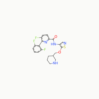 O=C(Nc1cnsc1OCC1CCCNC1)c1ccc(F)c(-c2c(F)cccc2F)n1